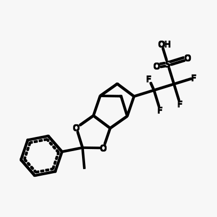 CC1(c2ccccc2)OC2C3CC(C2O1)C(C(F)(F)C(F)(F)S(=O)(=O)O)C3